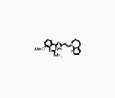 COc1cccc2c1nc(N)n1nc(CCN3CCCCc4cccnc43)nc21